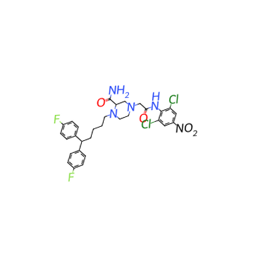 NC(=O)C1CN(CC(=O)Nc2c(Cl)cc([N+](=O)[O-])cc2Cl)CCN1CCCCC(c1ccc(F)cc1)c1ccc(F)cc1